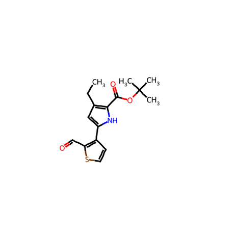 CCc1cc(-c2ccsc2C=O)[nH]c1C(=O)OC(C)(C)C